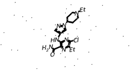 CCc1nc(C(N)=O)c(Nc2cnn(C3CCN(CC)CC3)c2)nc1Cl